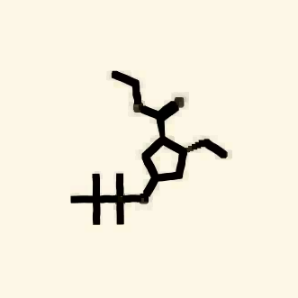 CCOC(=O)[C@@H]1CC(O[Si](C)(C)C(C)(C)C)C[C@H]1CC